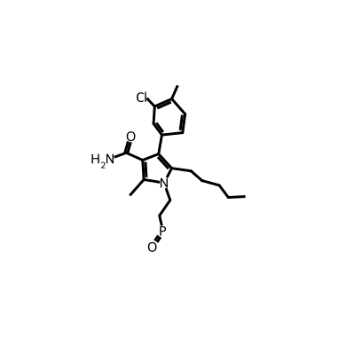 CCCCCc1c(-c2ccc(C)c(Cl)c2)c(C(N)=O)c(C)n1CCP=O